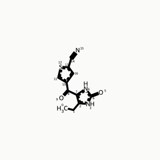 CCc1[nH]c(=O)[nH]c1C(=O)c1csc(C#N)c1